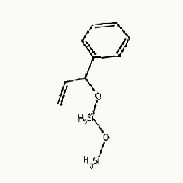 C=CC(O[SiH2]O[SiH3])c1ccccc1